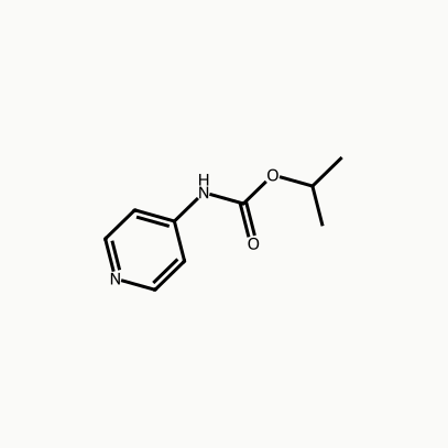 CC(C)OC(=O)Nc1ccncc1